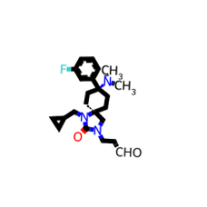 CN(C)[C@]1(c2cccc(F)c2)CC[C@]2(CC1)CN(CCC=O)C(=O)N2CC1CC1